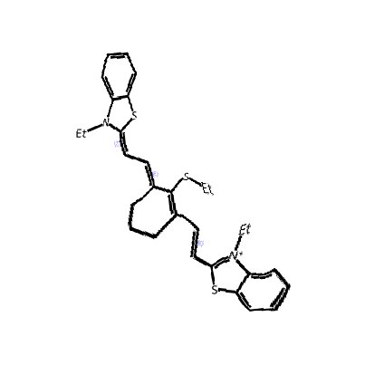 CCSC1=C(/C=C/c2sc3ccccc3[n+]2CC)CCC/C1=C\C=C1/Sc2ccccc2N1CC